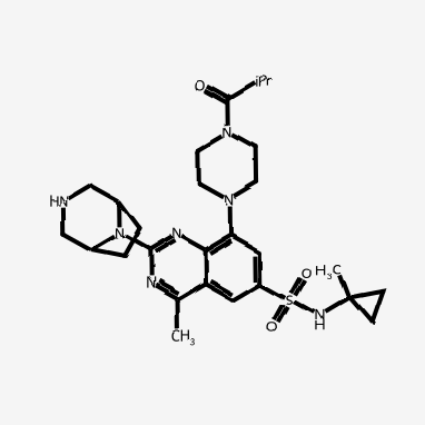 Cc1nc(N2C3CCC2CNC3)nc2c(N3CCN(C(=O)C(C)C)CC3)cc(S(=O)(=O)NC3(C)CC3)cc12